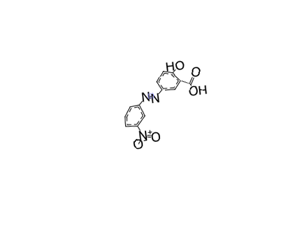 O=C(O)c1cc(/N=N/c2cccc([N+](=O)[O-])c2)ccc1O